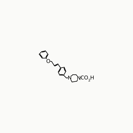 O=C(O)N1CCN(Cc2ccc(/C=C/COc3ccccc3)cc2)CC1